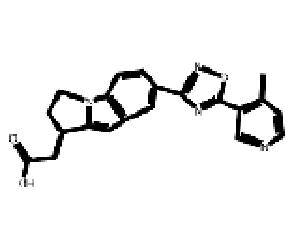 Cc1ccncc1-c1nc(-c2ccc3c(c2)cc2n3CCC2CC(=O)O)no1